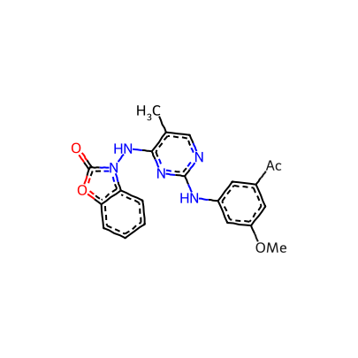 COc1cc(Nc2ncc(C)c(Nn3c(=O)oc4ccccc43)n2)cc(C(C)=O)c1